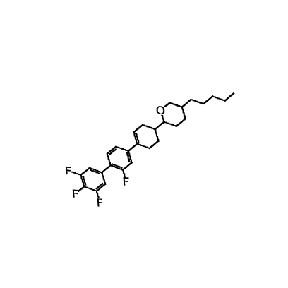 CCCCCC1CCC(C2CC=C(c3ccc(-c4cc(F)c(F)c(F)c4)c(F)c3)CC2)OC1